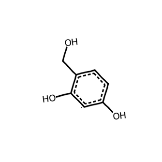 OCc1ccc(O)[c]c1O